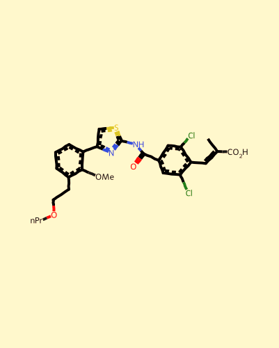 CCCOCCc1cccc(-c2csc(NC(=O)c3cc(Cl)c(/C=C(\C)C(=O)O)c(Cl)c3)n2)c1OC